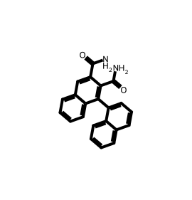 NC(=O)c1cc2ccccc2c(-c2cccc3ccccc23)c1C(N)=O